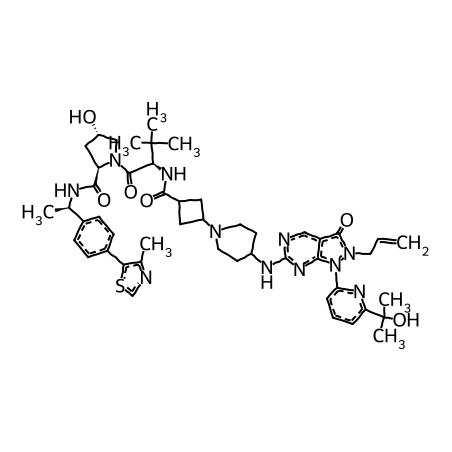 C=CCn1c(=O)c2cnc(NC3CCN(C4CC(C(=O)N[C@@H](C(=O)N5C[C@@H](O)C[C@@H]5C(=O)N[C@H](C)c5ccc(-c6scnc6C)cc5)C(C)(C)C)C4)CC3)nc2n1-c1cccc(C(C)(C)O)n1